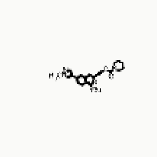 Cn1cc(-c2ccc3c(C(C)(C)C)nc(C#COC(=O)N4CCCCC4)cc3c2)cn1